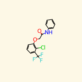 O=C(COc1cccc(C(F)(F)F)c1Cl)Nc1ccccc1